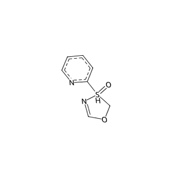 O=[SH]1(c2ccccn2)COC=N1